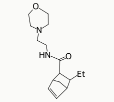 CCC1C2C=CC(C2)C1C(=O)NCCN1CCOCC1